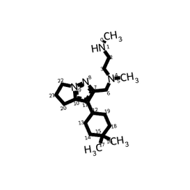 CNCCN(C)Cc1nn2c(c1C1CCC(C)(C)CC1)CCC2